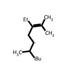 CCC(C[CH]C(C)C(C)CC)=C(C)C